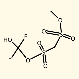 COS(=O)(=O)CS(=O)(=O)OC(O)(F)F